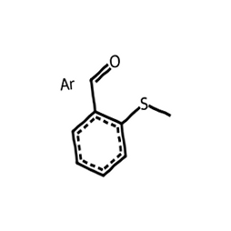 CSc1ccccc1C=O.[Ar]